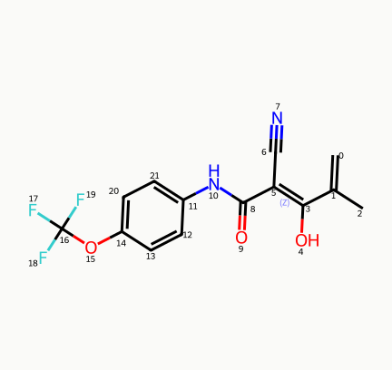 C=C(C)/C(O)=C(\C#N)C(=O)Nc1ccc(OC(F)(F)F)cc1